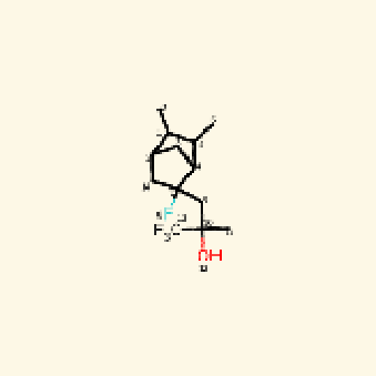 CC1C2CC(C1C)C(F)(CC(C)(O)C(F)(F)F)C2